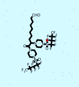 O=CCCCCCCCC(C(=O)N1CCN(S(=O)(=O)C(F)(F)C(F)(F)C(F)(F)C(F)(F)F)CC1)N1CCN(S(=O)(=O)C(F)(F)C(F)(F)C(F)(F)C(F)(F)F)CC1